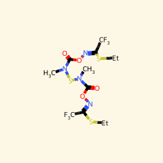 CCSC(=NOC(=O)N(C)SN(C)C(=O)ON=C(SCC)C(F)(F)F)C(F)(F)F